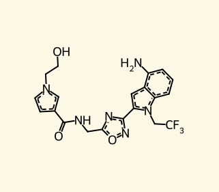 Nc1cccc2c1cc(-c1noc(CNC(=O)c3ccn(CCO)c3)n1)n2CC(F)(F)F